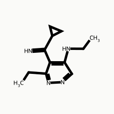 CCNc1cnnc(CC)c1C(=N)C1CC1